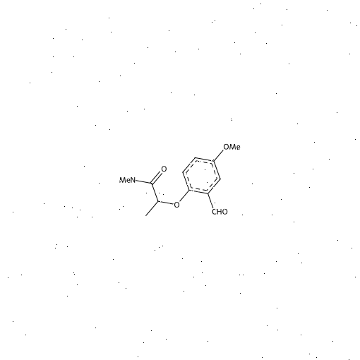 CNC(=O)C(C)Oc1ccc(OC)cc1C=O